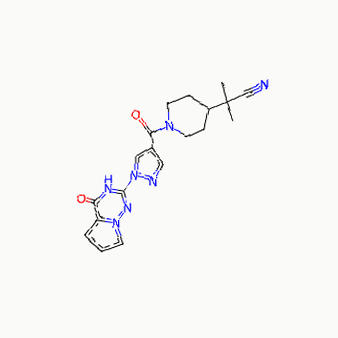 CC(C)(C#N)C1CCN(C(=O)c2cnn(-c3nn4cccc4c(=O)[nH]3)c2)CC1